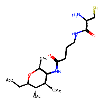 CC(=O)OCC1O[C@@H](OC(C)=O)C(NC(=O)CCCNC(=O)C(N)CS)[C@@H](OC(C)=O)[C@@H]1OC(C)=O